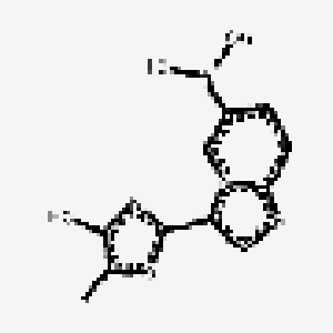 Cc1sc(-c2cnc3ccc(B(O)O)cn23)nc1O